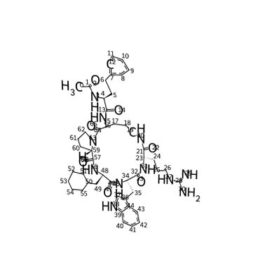 CC(=O)N[C@@H](CCc1ccccc1)C(=O)N[C@H]1CCCNC(=O)[C@H](CCCNC(=N)N)NC(=O)[C@H](Cc2c[nH]c3ccccc23)NC(=O)[C@@H](CC2CCCCC2)NC(=O)[C@@H]2CCCN2C1=O